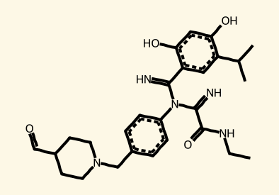 CCNC(=O)C(=N)N(C(=N)c1cc(C(C)C)c(O)cc1O)c1ccc(CN2CCC(C=O)CC2)cc1